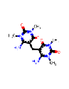 Cn1c(N)c(Cc2c(N)n(C)c(=O)n(C)c2=O)c(=O)n(C)c1=O